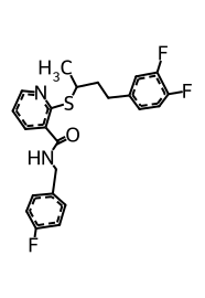 CC(CCc1ccc(F)c(F)c1)Sc1ncccc1C(=O)NCc1ccc(F)cc1